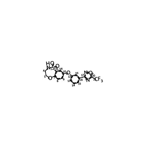 O=S1(=O)NCCOc2ccc(Oc3cccc(-c4noc(C(F)(F)F)n4)c3)cc21